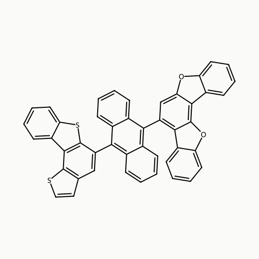 c1ccc2c(c1)oc1c2c(-c2c3ccccc3c(-c3cc4ccsc4c4c3sc3ccccc34)c3ccccc23)cc2oc3ccccc3c21